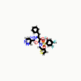 O=C(NC(Cc1ccccc1)C(O)CN(Cc1cccs1)S(=O)(=O)c1cc(F)c(F)cc1F)c1ccnnc1